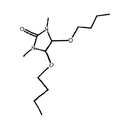 CCCCOC1C(OCCCC)N(C)C(=O)N1C